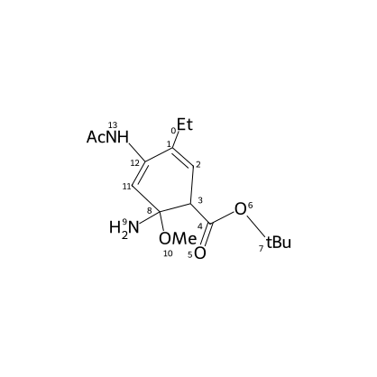 CCC1=CC(C(=O)OC(C)(C)C)C(N)(OC)C=C1NC(C)=O